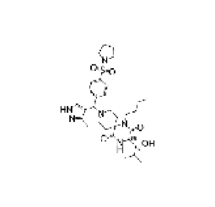 CCCCN1C(=O)[C@@H]([C@H](O)C(C)C)NC(=O)C12CCN(C(c1ccc(S(=O)(=O)N3CCCC3)cc1)c1c(C)n[nH]c1C)CC2